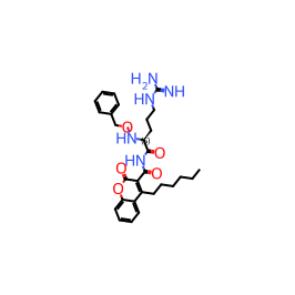 CCCCCCc1c(C(=O)NC(=O)[C@H](CCCNC(=N)N)NOCc2ccccc2)c(=O)oc2ccccc12